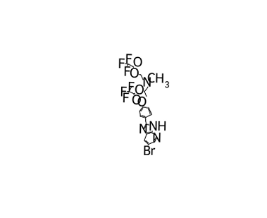 CN(CCOC(=O)C(F)(F)F)CC(COc1ccc(-c2nc3cc(Br)cnc3[nH]2)cc1)OC(=O)C(F)(F)F